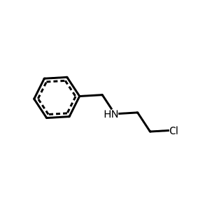 ClCCNCc1ccccc1